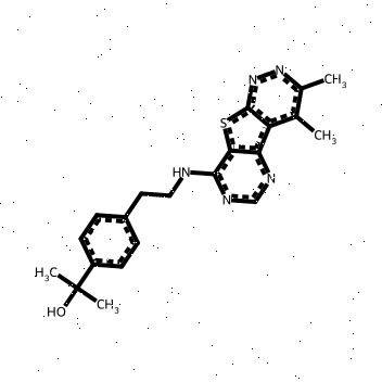 Cc1nnc2sc3c(NCCc4ccc(C(C)(C)O)cc4)ncnc3c2c1C